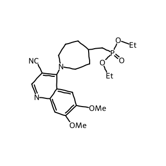 CCOP(=O)(CC1CCCN(c2c(C#N)cnc3cc(OC)c(OC)cc23)CC1)OCC